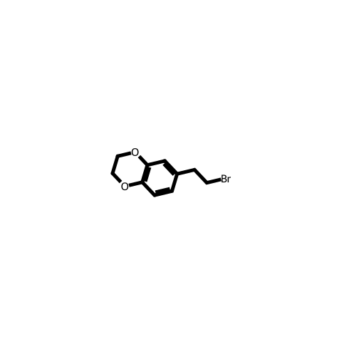 BrCCc1ccc2c(c1)OCCO2